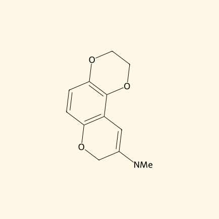 CNC1=Cc2c(ccc3c2OCCO3)OC1